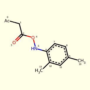 CC(=O)CC(=O)ONc1ccc(C)cc1C